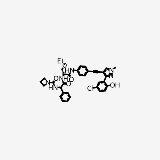 CCOC[C@H](NC(=O)[C@H](NC(=O)N1CCC1)c1ccccc1)C(=O)Nc1ccc(C#Cc2cn(C)nc2-c2cc(Cl)ccc2O)cc1